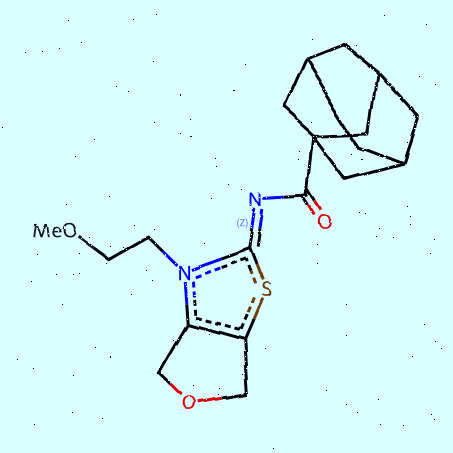 COCCn1c2c(s/c1=N\C(=O)C13CC4CC(CC(C4)C1)C3)COC2